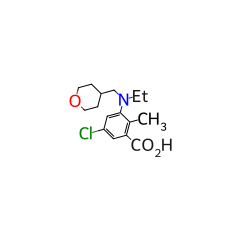 CCN(CC1CCOCC1)c1cc(Cl)cc(C(=O)O)c1C